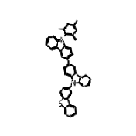 Cc1cc(C)c(-n2c3ccccc3c3cc(-c4ccc5c(c4)c4ccccc4n5-c4ccc5sc6ccccc6c5c4)ccc32)c(C)c1